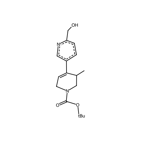 CC1CN(C(=O)OC(C)(C)C)CC=C1c1ccc(CO)nc1